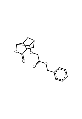 O=C(COC1C2CC3C(=O)OC1C3C2)OCc1ccccc1